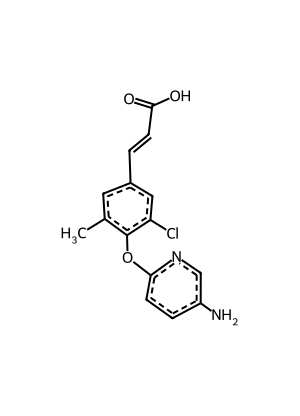 Cc1cc(C=CC(=O)O)cc(Cl)c1Oc1ccc(N)cn1